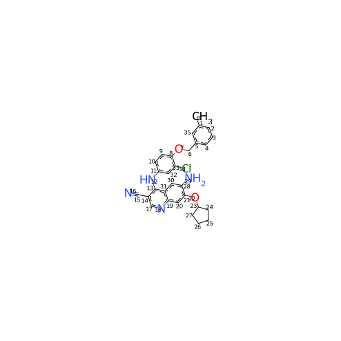 Cc1cccc(COc2ccc(Nc3c(C#N)cnc4cc(OC5CCCC5)c(N)cc34)cc2Cl)c1